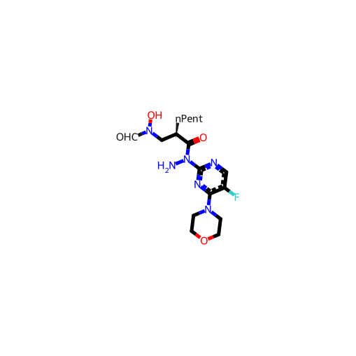 CCCCC[C@H](CN(O)C=O)C(=O)N(N)c1ncc(F)c(N2CCOCC2)n1